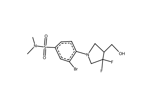 CN(C)S(=O)(=O)c1ccc(N2CC(CO)C(F)(F)C2)c(Br)c1